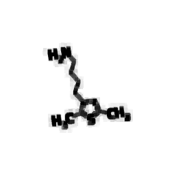 Cc1cc(CCCCN)c(C)s1